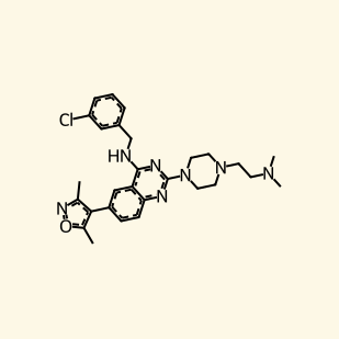 Cc1noc(C)c1-c1ccc2nc(N3CCN(CCN(C)C)CC3)nc(NCc3cccc(Cl)c3)c2c1